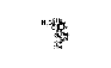 CC(C)(C)c1cccc(-n2nnn(CCO)c2=O)c1